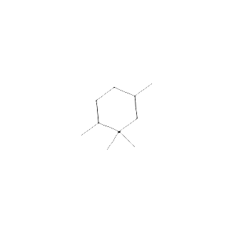 C[C]1CCC(C)CC1(C)C